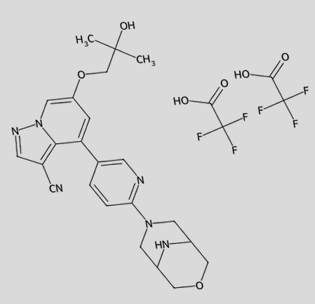 CC(C)(O)COc1cc(-c2ccc(N3CC4COCC(C3)N4)nc2)c2c(C#N)cnn2c1.O=C(O)C(F)(F)F.O=C(O)C(F)(F)F